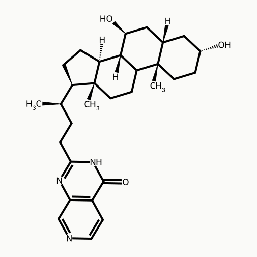 C[C@H](CCc1nc2cnccc2c(=O)[nH]1)[C@H]1CC[C@H]2[C@H]3C(CC[C@]12C)[C@@]1(C)CC[C@@H](O)C[C@H]1C[C@@H]3O